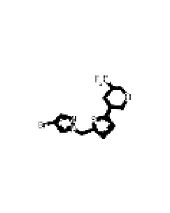 FC(F)(F)C1COCC(c2ccc(Cn3cc(Br)cn3)s2)C1